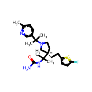 Cc1ccc(C(C)(C)N2CC[C@@](CCc3ccc(F)s3)(C(C)(C)NC(N)=O)C2)cn1